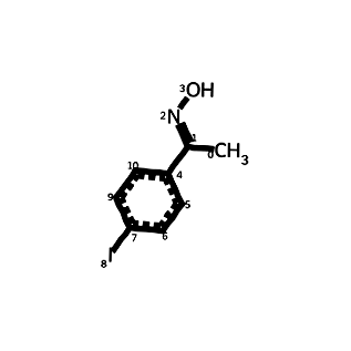 CC(=NO)c1ccc(I)cc1